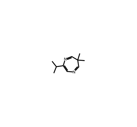 CC(C)C1=CN=CC(C)(C)C=N1